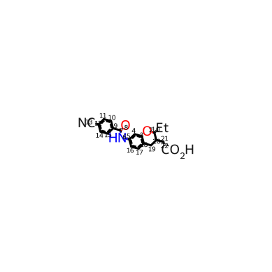 CCC1Oc2cc(NC(=O)c3ccc(C#N)cc3)ccc2CC1CC(=O)O